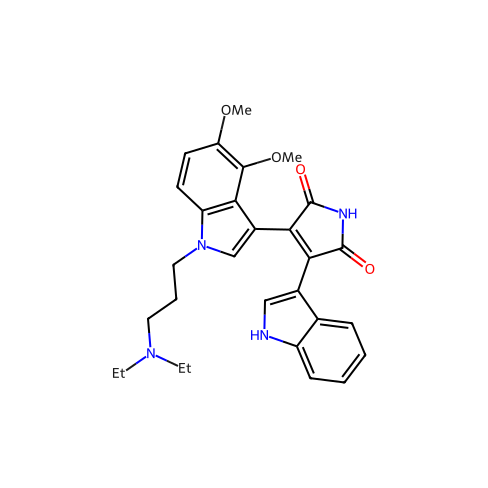 CCN(CC)CCCn1cc(C2=C(c3c[nH]c4ccccc34)C(=O)NC2=O)c2c(OC)c(OC)ccc21